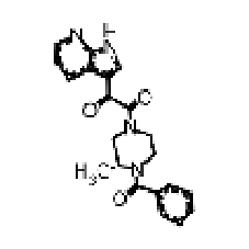 C[C@H]1CN(C(=O)C(=O)c2c[nH]c3ncccc23)CCN1C(=O)c1ccccc1